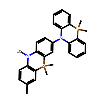 CCN1c2ccc(C)cc2S(C)(C)c2cc(N3c4ccccc4S(C)(C)c4ccccc43)ccc21